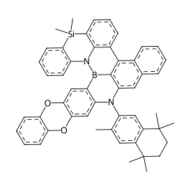 Cc1cc2c(cc1N1c3cc4c(cc3B3c5c1cc1ccccc1c5-c1cccc5c1N3c1ccccc1[Si]5(C)C)Oc1ccccc1O4)C(C)(C)CCC2(C)C